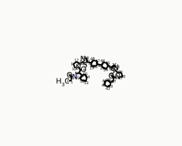 CCC(=O)/N=C/C(C(=O)N1CCC[C@H]1c1ncc(-c2ccc(-c3ccc(-c4cnc(C5CCCN5C(=O)Cc5ccccc5)s4)cc3)cc2)s1)c1ccccc1